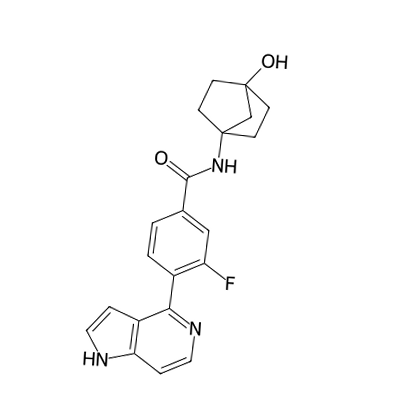 O=C(NC12CCC(O)(CC1)C2)c1ccc(-c2nccc3[nH]ccc23)c(F)c1